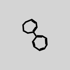 C1=CC=CC(C2=CC=CCCCC2)=CC=C1